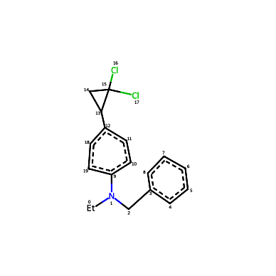 CCN(Cc1ccccc1)c1ccc(C2CC2(Cl)Cl)cc1